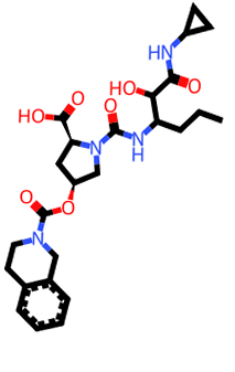 CCCC(NC(=O)N1C[C@@H](OC(=O)N2CCc3ccccc3C2)C[C@H]1C(=O)O)C(O)C(=O)NC1CC1